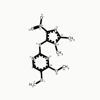 COc1cnc(Sc2c([N+](=O)[O-])nc(C)n2C)nc1OC